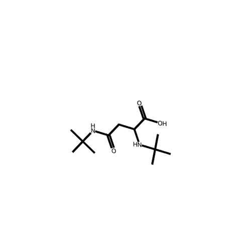 CC(C)(C)NC(=O)CC(NC(C)(C)C)C(=O)O